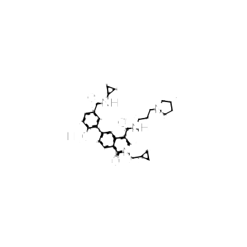 Cc1ccc(C(=O)NC2CC2)cc1-c1ccc2c(=O)n(CC3CC3)cc(C(=O)NCCCN3CCCC3)c2c1